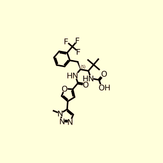 Cn1nncc1-c1coc(C(=O)N[C@@H](Cc2ccccc2C(F)(F)F)C(NC(=O)O)C(C)(C)C)c1